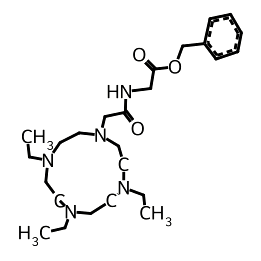 CCN1CCN(CC)CCN(CC(=O)NCC(=O)OCc2ccccc2)CCN(CC)CC1